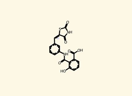 O=C1NC(=O)/C(=C\c2cccc(NC(=O)c3c(O)cccc3C(=O)O)c2)S1